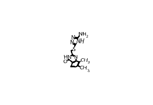 Cc1ccc2c(=O)[nH]c(CSc3nnc(N)[nH]3)nc2c1C